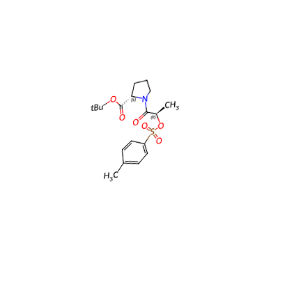 Cc1ccc(S(=O)(=O)O[C@H](C)C(=O)N2CCC[C@H]2C(=O)OC(C)(C)C)cc1